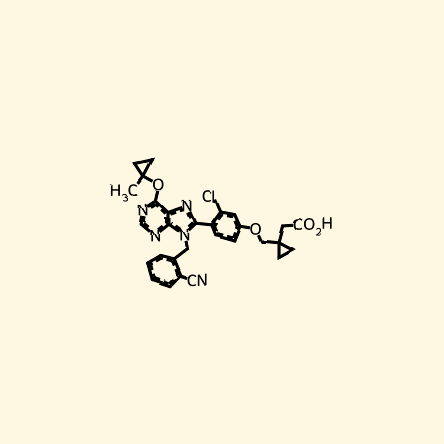 CC1(Oc2ncnc3c2nc(-c2ccc(OCC4(CC(=O)O)CC4)cc2Cl)n3Cc2ccccc2C#N)CC1